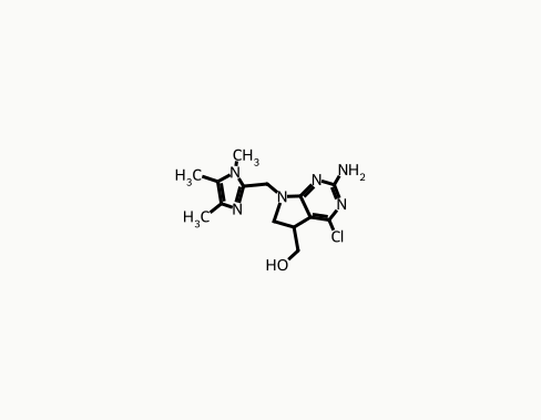 Cc1nc(CN2CC(CO)c3c(Cl)nc(N)nc32)n(C)c1C